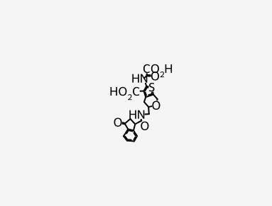 O=C(O)C(=O)Nc1sc2c(c1C(=O)O)CC(CNC(=O)C1CC(=O)c3ccccc31)OC2